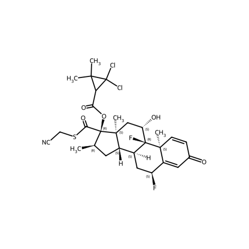 C[C@@H]1C[C@H]2[C@@H]3C[C@H](F)C4=CC(=O)C=C[C@]4(C)[C@@]3(F)[C@@H](O)C[C@]2(C)[C@@]1(OC(=O)C1C(C)(C)C1(Cl)Cl)C(=O)SCC#N